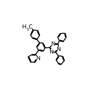 Cc1ccc(-c2cc(-c3ccccn3)cc(-c3nc(-c4ccccc4)nc(-c4ccccc4)n3)c2)cc1